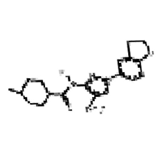 CCOC(=O)c1cn(-c2ccc3c(c2)CCO3)nc1N(C(=O)C1CCC(C)CC1)C(C)C